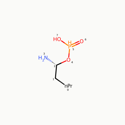 CCCC[C@H](N)O[PH](=O)O